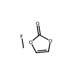 CF.O=c1occo1